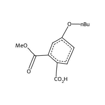 CCCCOc1ccc(C(=O)O)c(C(=O)OC)c1